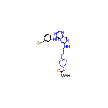 COC(=O)CN1CCN(CCCNc2ncc3ncnc(Nc4cccc(Br)c4)c3n2)CC1